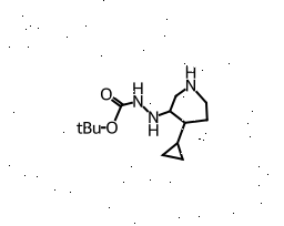 CC(C)(C)OC(=O)NNC1CNCCC1C1CC1